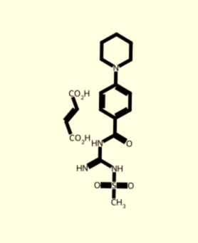 CS(=O)(=O)NC(=N)NC(=O)c1ccc(N2CCCCC2)cc1.O=C(O)C=CC(=O)O